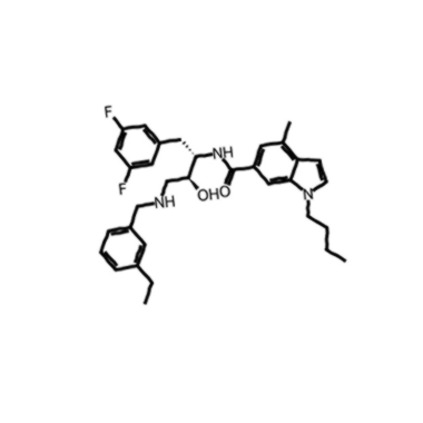 CCCCn1ccc2c(C)cc(C(=O)N[C@@H](Cc3cc(F)cc(F)c3)[C@@H](O)CNCc3cccc(CC)c3)cc21